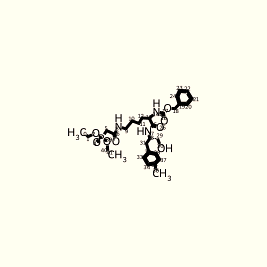 CCOP(=O)(CC(=O)NCCCCC(NC(=O)OCc1ccccc1)C(=O)N[C@H](CO)Cc1ccc(C)cc1)OCC